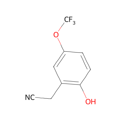 N#CCc1cc(OC(F)(F)F)ccc1O